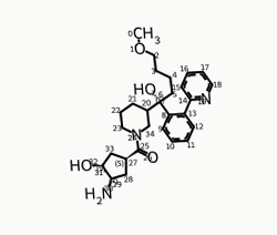 COCCCC[C@@](O)(c1ccccc1-c1ccccn1)C1CCCN(C(=O)[C@H]2C[C@@H](N)[C@@H](O)C2)C1